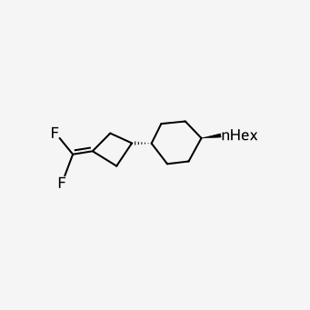 CCCCCC[C@H]1CC[C@H](C2CC(=C(F)F)C2)CC1